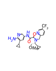 COC[C@@H](C1CC1)N(Cc1ccc(C(F)(F)F)cn1)C(=O)C(=O)Nc1cnc(N)c(C2CC2)c1